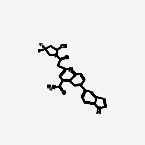 N#CC1CC(F)(F)CN1C(=O)Cc1cc(C(N)=O)c2cc(-c3ccc4[nH]ccc4c3)ccc2n1